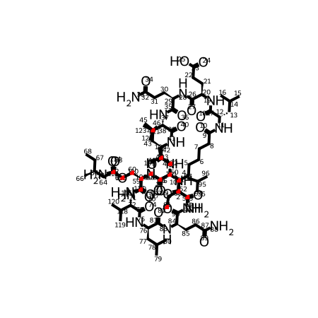 CCCCCCCCCC(=O)N[C@@H](CC(C)C)C(=O)N[C@H](CCC(=O)O)C(=O)N[C@H](CCC(N)=O)C(=O)N[C@H](C(=O)N[C@H](CC(C)C)C(=O)N[C@@H](CCC(N)=O)C(=O)N[C@H](COC(=O)C[C@@H](C)CC)C(=O)N[C@@H](C(=O)N[C@H](CC(C)C)C(=O)N[C@H](CCC(N)=O)C(=O)N[C@@H](CC(C)C)C(=O)N[C@@H](CC(C)C)C(=O)N[C@H](CCC(N)=O)C(N)=O)C(C)C)C(C)C